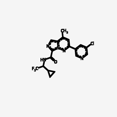 Cc1cc(-c2cncc(Cl)c2)nn2c(C(=O)NC(C3CC3)C(F)(F)F)ncc12